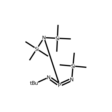 CC(C)(C)/N=P(=N/[Si](C)(C)C)\N([Si](C)(C)C)[Si](C)(C)C